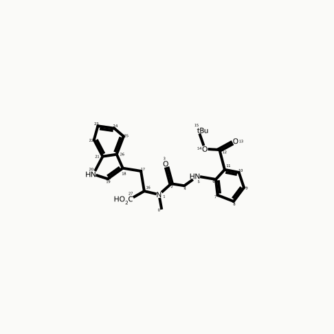 CN(C(=O)CNc1ccccc1C(=O)OC(C)(C)C)C(Cc1[c][nH]c2ccccc12)C(=O)O